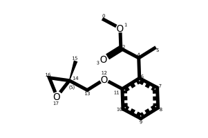 COC(=O)C(C)c1ccccc1OC[C@@]1(C)CO1